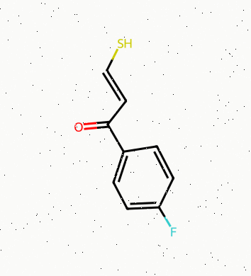 O=C(/C=C/S)c1ccc(F)cc1